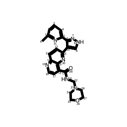 Cc1cccc(-c2n[nH]cc2-c2ccc3nccc(C(=O)NCN4CCOCC4)c3n2)n1